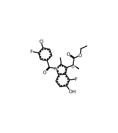 CCOC(=O)[C@@H](C)c1c(C)n(C(=O)c2ccc(Cl)c(F)c2)c2ccc(O)c(F)c12